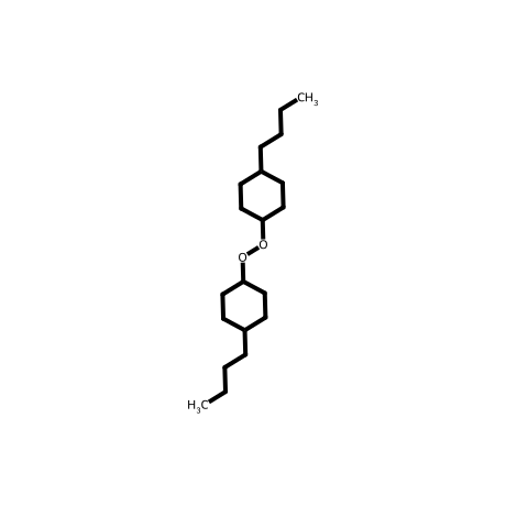 CCCCC1CCC(OOC2CCC(CCCC)CC2)CC1